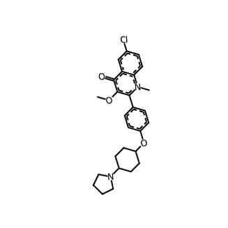 COc1c(-c2ccc(OC3CCC(N4CCCC4)CC3)cc2)n(C)c2ccc(Cl)cc2c1=O